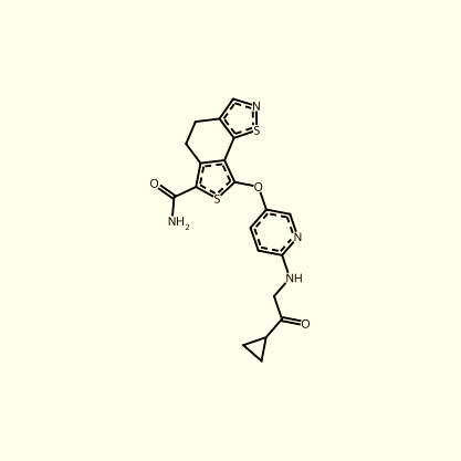 NC(=O)c1sc(Oc2ccc(NCC(=O)C3CC3)nc2)c2c1CCc1cnsc1-2